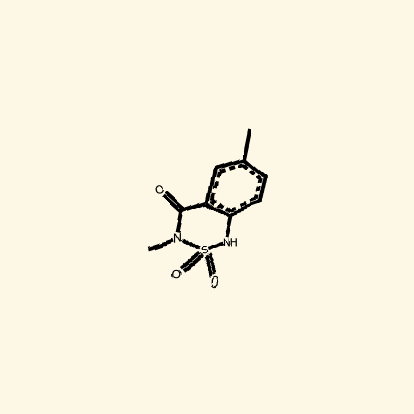 Cc1ccc2c(c1)C(=O)N(C)S(=O)(=O)N2